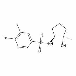 Cc1cc(S(=O)(=O)N[C@H]2CCC[C@@]2(C)O)ccc1Br